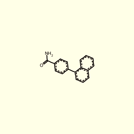 NC(=O)c1ccc(-c2cccc3ccccc23)cc1